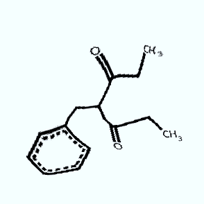 CCC(=O)C(Cc1ccccc1)C(=O)CC